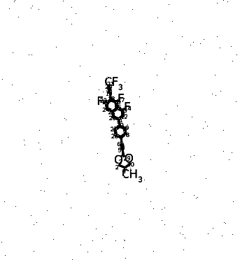 CC1COC(C#Cc2ccc(-c3cc(F)c4c(F)c(C#CC(F)(F)F)c(F)cc4c3)cc2)OC1